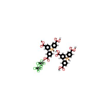 COC(=O)c1ccc([P+](C)(c2ccc(C(=O)OC)cc2)c2ccc(C(=O)OC)cc2)cc1.COC(=O)c1ccc([P+](C)(c2ccc(C(=O)OC)cc2)c2ccc(C(=O)OC)cc2)cc1.[Cl][Mn-]([Cl])([Cl])[Cl].[Cl][Mn-]([Cl])([Cl])[Cl]